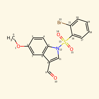 COc1ccc2c(c1)c(C=O)cn2S(=O)(=O)c1ccccc1Br